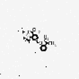 CC(C)c1ccccc1OCc1ccc(C(C)C)c(OC(F)(F)F)c1